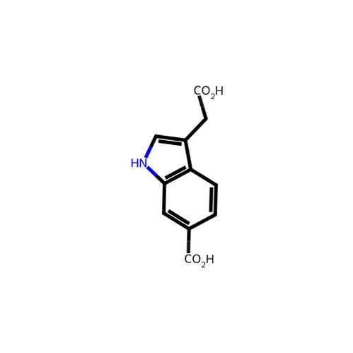 O=C(O)Cc1c[nH]c2cc(C(=O)O)ccc12